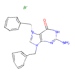 Nc1nc2c(c(=O)[nH]1)[n+](Cc1ccccc1)cn2Cc1ccccc1.[Br-]